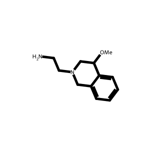 COC1CN(CCN)Cc2ccccc21